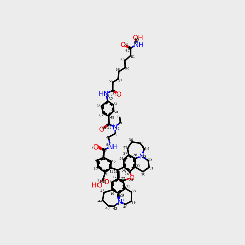 CCN(CCNC(=O)c1ccc(C(=O)O)c(C2=c3cc4c5c(c3Oc3c2cc2c6c3CCCN6CCCC2)CCC[N+]=5CCCC4)c1)C(=O)c1ccc(NC(=O)CCCCCCC(=O)NO)cc1